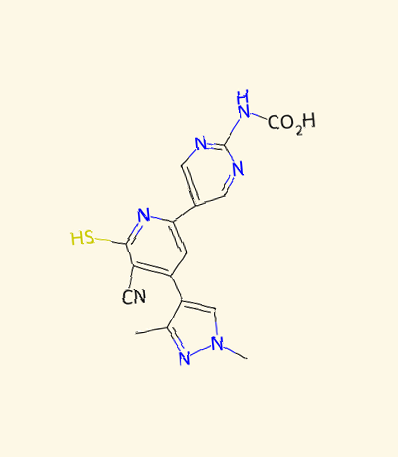 Cc1nn(C)cc1-c1cc(-c2cnc(NC(=O)O)nc2)nc(S)c1C#N